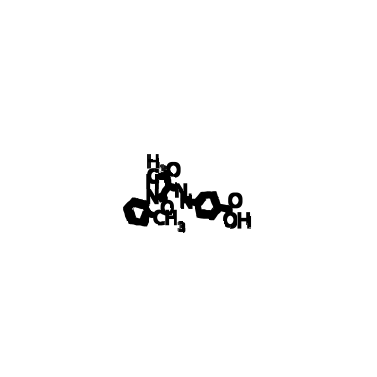 CC(=O)C(N=Nc1ccc(C(=O)O)cc1)C(=O)Nc1ccccc1C